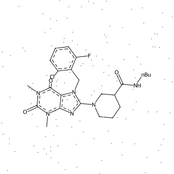 CCCCNC(=O)C1CCCN(c2nc3c(c(=O)n(C)c(=O)n3C)n2Cc2c(F)cccc2Cl)C1